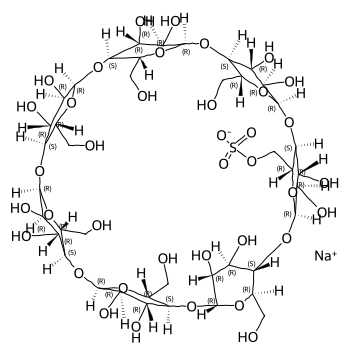 O=S(=O)([O-])OC[C@H]1O[C@@H]2O[C@H]3[C@H](O)[C@@H](O)[C@@H](O[C@H]4[C@H](O)[C@@H](O)[C@@H](O[C@H]5[C@H](O)[C@@H](O)[C@@H](O[C@H]6[C@H](O)[C@@H](O)[C@@H](O[C@H]7[C@H](O)[C@@H](O)[C@@H](O[C@H]8[C@H](O)[C@@H](O)[C@@H](O[C@H]1[C@H](O)[C@H]2O)O[C@@H]8CO)O[C@@H]7CO)O[C@@H]6CO)O[C@@H]5CO)O[C@@H]4CO)O[C@@H]3CO.[Na+]